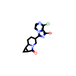 O=C1C2CC2C2CCC(c3nc(Br)c4c(Cl)nccn34)CN12